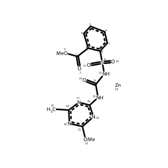 COC(=O)c1ccccc1S(=O)(=O)NC(=O)Nc1nc(C)nc(OC)n1.[Zn]